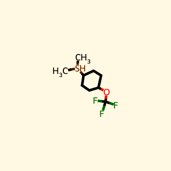 C[SH](C)C1CCC(OC(F)(F)F)CC1